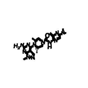 Cc1nc(N(C)C)cnc1NC(=O)N1C[C@H](C)N(c2nc(N)nc3c2cnn3C)[C@@H](C)C1